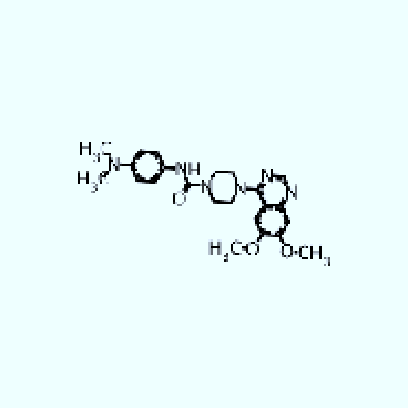 COc1cc2ncnc(N3CCN(C(=O)Nc4ccc(N(C)C)cc4)CC3)c2cc1OC